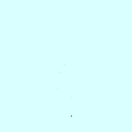 CCC(C)(NCC(C)(C)c1ccccc1CN)C(=O)Oc1ccc(C(C)(C)C)c(F)c1